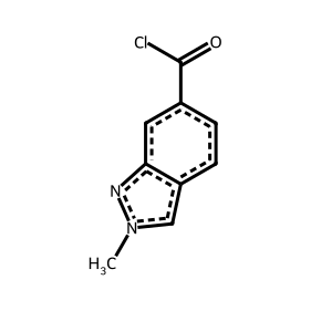 Cn1cc2ccc(C(=O)Cl)cc2n1